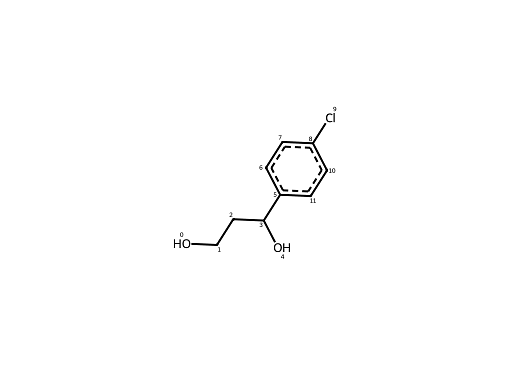 OCCC(O)c1ccc(Cl)cc1